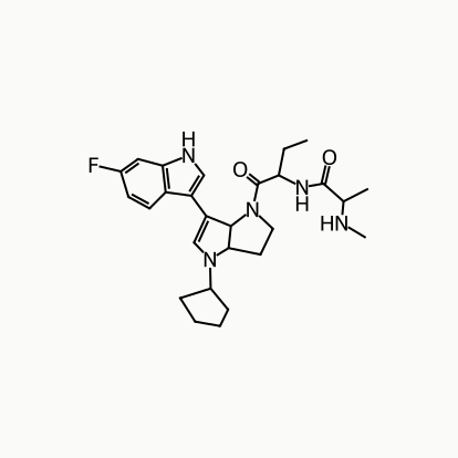 CCC(NC(=O)C(C)NC)C(=O)N1CCC2C1C(c1c[nH]c3cc(F)ccc13)=CN2C1CCCC1